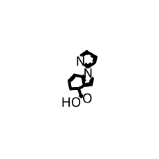 O=C(O)C1CC=Cc2c1ccn2-c1ccccn1